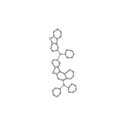 c1ccc(N(c2ccc3sc4ccccc4c3c2)c2ccc3sc4cc(N(c5ccccc5)c5ccccc5)c5ccccc5c4c3c2)cc1